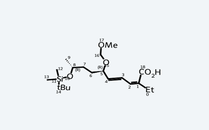 CCC(=CC=C[C@@H](CC[C@@H](C)O[Si](C)(C)C(C)(C)C)OCOC)C(=O)O